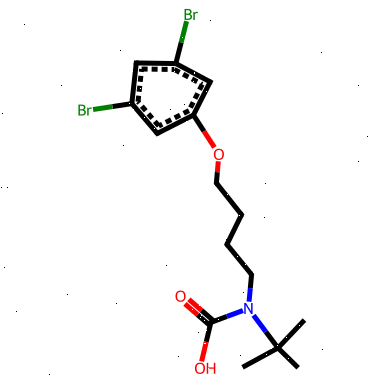 CC(C)(C)N(CCCCOc1cc(Br)cc(Br)c1)C(=O)O